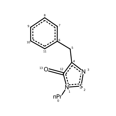 CCCn1snc(Cc2ccccc2)c1=O